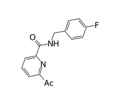 CC(=O)c1cccc(C(=O)NCc2ccc(F)cc2)n1